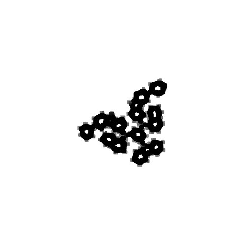 c1ccc(-c2ccc3oc4ccc(N(c5cc(N(c6ccc7oc8ccc(-c9ccccc9)cc8c7c6)c6cccc7ccccc67)cc(-n6c7ccccc7c7ccccc76)c5)c5cccc6ccccc56)cc4c3c2)cc1